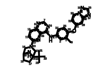 Cc1cc(Nc2ncnc3ccc(N4CC5CCC(C(C)(C)C)(C4)N5)nc23)ccc1Oc1ccn2ncnc2c1